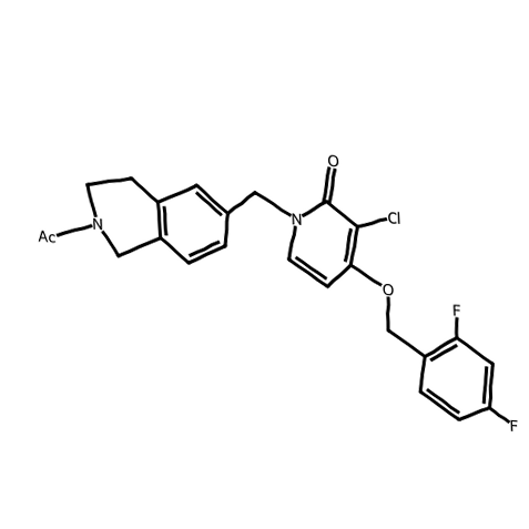 CC(=O)N1CCc2cc(Cn3ccc(OCc4ccc(F)cc4F)c(Cl)c3=O)ccc2C1